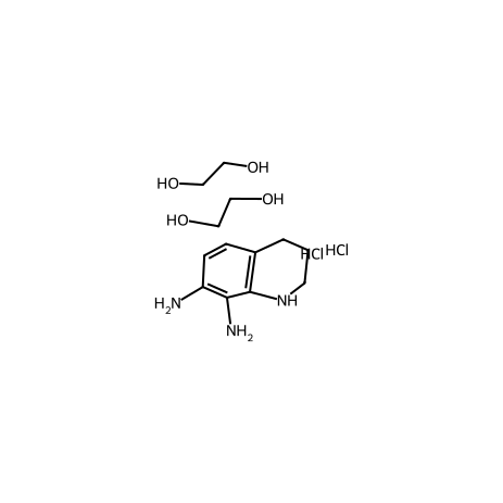 Cl.Cl.Nc1ccc2c(c1N)NCCC2.OCCO.OCCO